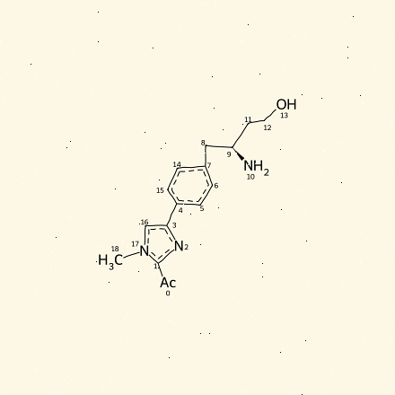 CC(=O)c1nc(-c2ccc(C[C@H](N)CCO)cc2)cn1C